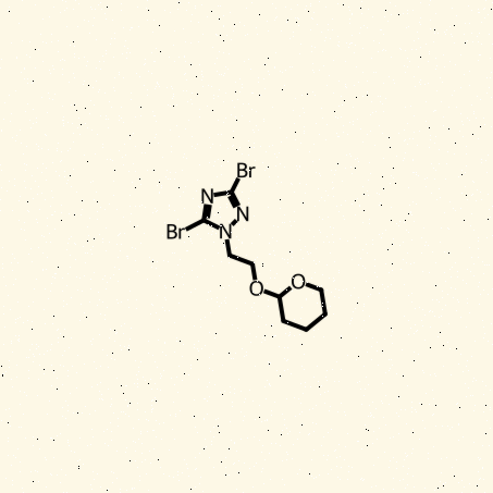 Brc1nc(Br)n(CCOC2CCCCO2)n1